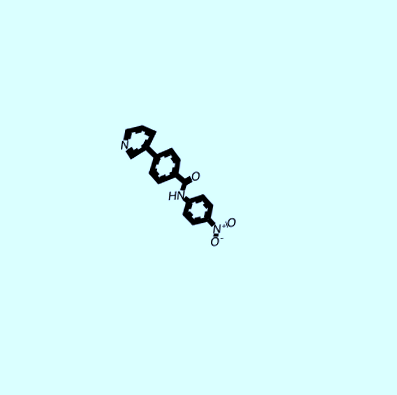 O=C(Nc1ccc([N+](=O)[O-])cc1)c1ccc(-c2cccnc2)cc1